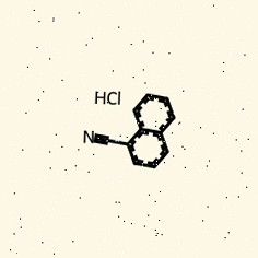 Cl.N#Cc1cccc2ccccc12